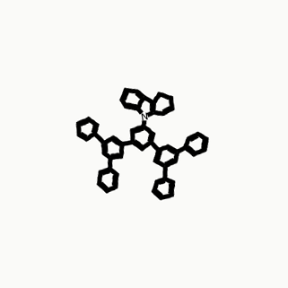 C1=Cc2c(c3ccccc3n2-c2cc(-c3cc(-c4ccccc4)cc(-c4ccccc4)c3)cc(-c3cc(-c4ccccc4)cc(-c4ccccc4)c3)c2)CC1